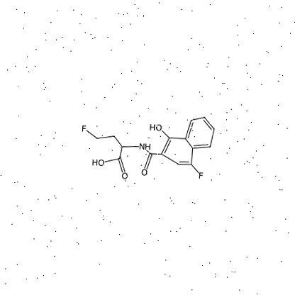 O=C(NC(CCF)C(=O)O)c1cc(F)c2ccccc2c1O